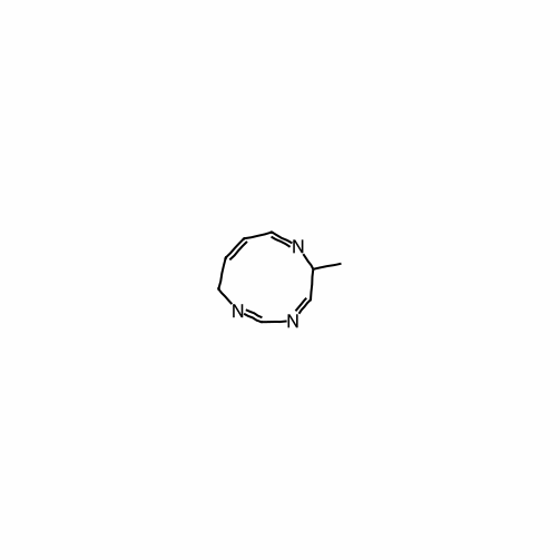 CC1/C=N\C=N/C/C=C\C=N/1